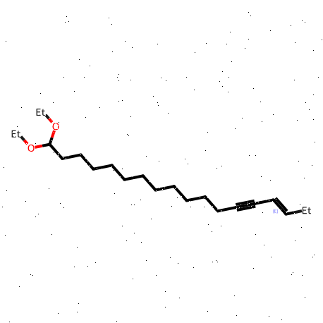 CC/C=C/C#CCCCCCCCCCCCC(OCC)OCC